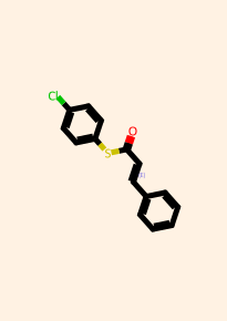 O=C(/C=C/c1ccccc1)Sc1ccc(Cl)cc1